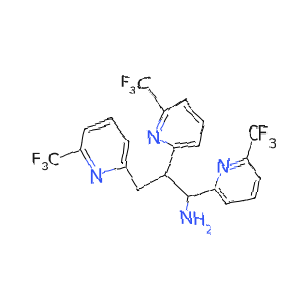 NC(c1cccc(C(F)(F)F)n1)C(Cc1cccc(C(F)(F)F)n1)c1cccc(C(F)(F)F)n1